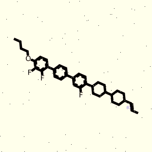 C/C=C/C1CCC(C2CCC(c3ccc(-c4ccc(-c5ccc(OCCCC)c(F)c5F)cc4)cc3F)CC2)CC1